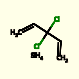 C=CC(Cl)(Cl)C=C.[SiH4]